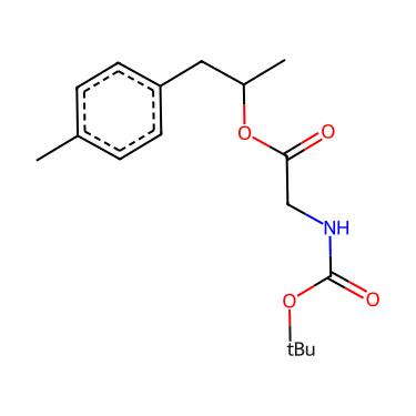 Cc1ccc(CC(C)OC(=O)CNC(=O)OC(C)(C)C)cc1